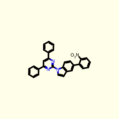 O=[N+]([O-])c1ccccc1-c1ccc2c(ccn2-c2nc(-c3ccccc3)cc(-c3ccccc3)n2)c1